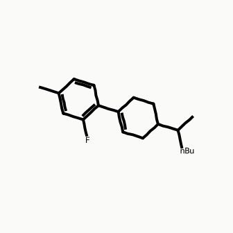 CCCCC(C)C1CC=C(c2ccc(C)cc2F)CC1